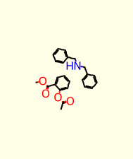 COC(=O)c1ccccc1OC(C)=O.c1ccc(CNCc2ccccc2)cc1